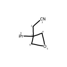 CC(C)C1(CC#N)COC1